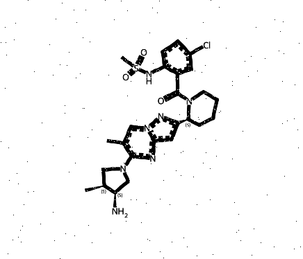 Cc1cn2nc([C@@H]3CCCCN3C(=O)c3cc(Cl)ccc3NS(C)(=O)=O)cc2nc1N1C[C@@H](N)[C@@H](C)C1